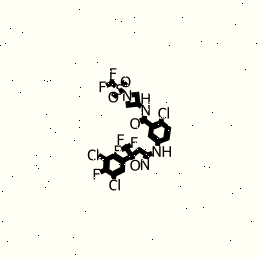 O=C(NC1CN(S(=O)(=O)C(F)F)C1)c1cc(NC2=NOC(c3cc(Cl)c(F)c(Cl)c3)(C(F)(F)F)C2)ccc1Cl